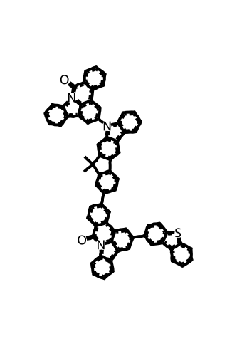 CC1(C)c2cc(-c3ccc4c(=O)n5c6ccccc6c6cc(-c7ccc8sc9ccccc9c8c7)cc(c4c3)c65)ccc2-c2cc3c4ccccc4n(-c4cc5c6ccccc6c(=O)n6c7ccccc7c(c4)c56)c3cc21